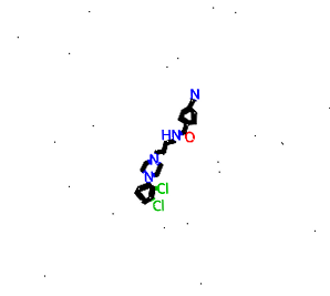 N#Cc1ccc(C(=O)NCCCCN2CCN(c3cccc(Cl)c3Cl)CC2)cc1